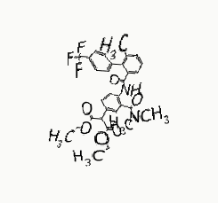 CCOC(=O)C(C(=O)OCC)c1ccc(NC(=O)c2cccc(C)c2-c2ccc(C(F)(F)F)cc2)c(C(=O)N(C)C)c1